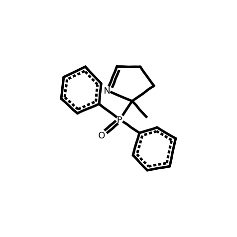 CC1(P(=O)(c2ccccc2)c2ccccc2)CCC=N1